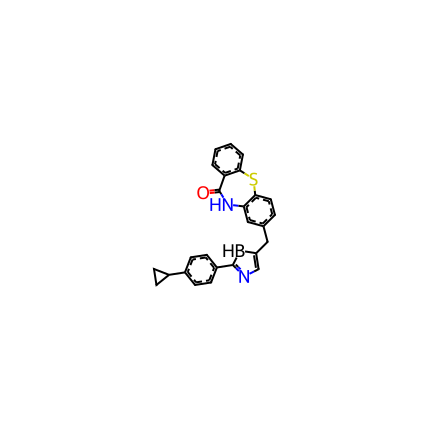 O=C1Nc2cc(CC3=CN=C(c4ccc(C5CC5)cc4)B3)ccc2Sc2ccccc21